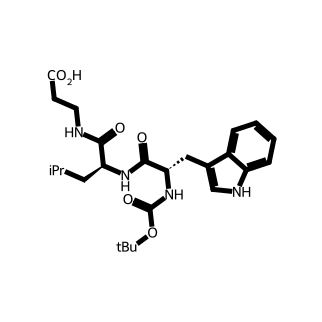 CC(C)C[C@H](NC(=O)[C@H](Cc1c[nH]c2ccccc12)NC(=O)OC(C)(C)C)C(=O)NCCC(=O)O